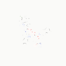 O=C(NCc1ccccc1)C(=O)[C@H](C[C@@H]1CCCNC1=O)NC(=O)[C@H](Cc1ccccc1)NC(=O)c1cc2ccc(F)cc2[nH]1